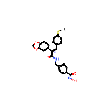 CSc1ccc(/C=C(/C(=O)NCc2ccc(C(=O)NO)cc2)c2ccc3c(c2)OCO3)cc1